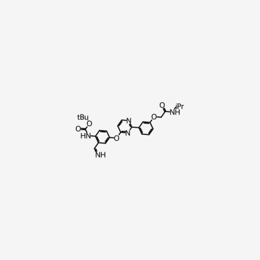 CC(C)NC(=O)COc1cccc(-c2nccc(Oc3ccc(NC(=O)OC(C)(C)C)c(C=N)c3)n2)c1